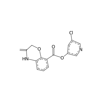 C=C1COc2c(cccc2C(=O)Oc2cncc(Cl)c2)N1